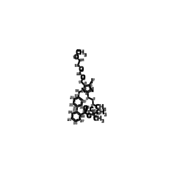 CCCCc1nc(I)c(COCOCCOC)n1Cc1ccc(-c2ccccc2C(=O)OC(C)(C)C)cc1